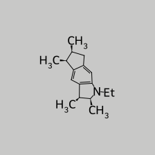 CCN1c2cc3c(cc2[C@H](C)[C@@H]1C)[C@@H](C)[C@@H](C)C3